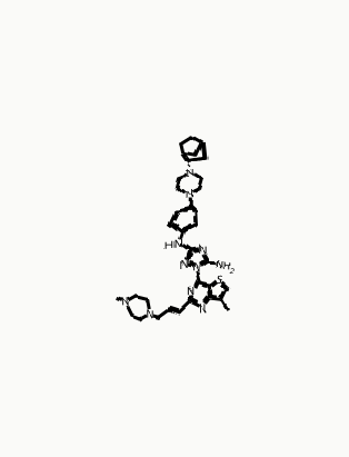 Cc1csc2c(-n3nc(Nc4ccc(N5CCN([C@H]6CC7CCC6C7)CC5)cc4)nc3N)nc(C=CCN3CCN(C)CC3)nc12